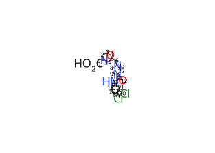 O=C(O)N1CCO[C@@H](CN2CCN(C(=O)Nc3ccc(Cl)c(Cl)c3)CC2)C1